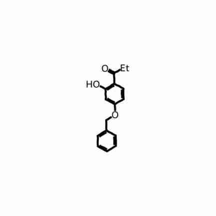 CCC(=O)c1ccc(OCc2ccccc2)cc1O